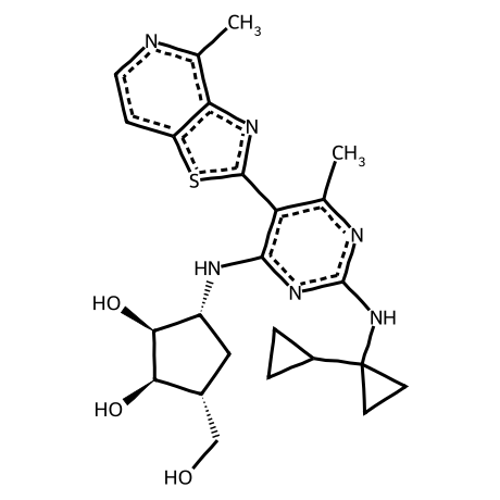 Cc1nc(NC2(C3CC3)CC2)nc(N[C@@H]2C[C@H](CO)[C@@H](O)[C@H]2O)c1-c1nc2c(C)nccc2s1